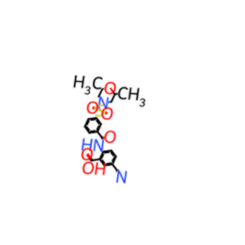 CC1CN(S(=O)(=O)c2cccc(C(=O)Nc3ccc(C#N)cc3C(=O)O)c2)CC(C)O1